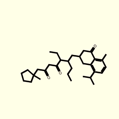 CCCC(CC1CC(=O)c2c(C)ccc(C(C)C)c2C1)C(CC)C(=O)CC(=O)CC1(C)CCCC1